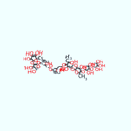 CC[C@@H]1O[C@@H](O[C@H]2[C@H](O[C@@H](C[C@H](O)CC(=O)O[C@@H](C[C@H](O)CC(=O)O[C@@H]3[C@H](O)[C@@H](O[C@@H]4O[C@@H](C)[C@H](OC5=C(O)[C@@H](OC6=C(O)[C@@H](O)[C@H](O)CO6)[C@H](O)CO5)[C@@H](O)[C@H]4O)CO[C@@H]3C)[C@@H](C)CC)[C@@H](C)CC)O[C@@H](CO)[C@@H]2O)[C@H](O)[C@H](O)[C@H]1O